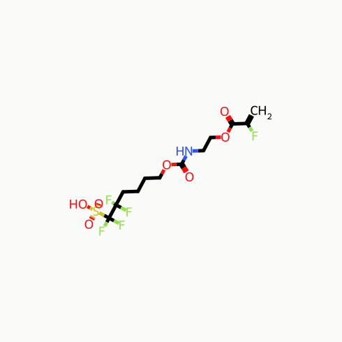 C=C(F)C(=O)OCCNC(=O)OCCCCC(F)(F)C(F)(F)S(=O)(=O)O